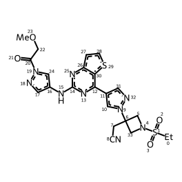 CCS(=O)(=O)N1CC(CC#N)(n2cc(-c3nc(Nc4cnn(C(=O)COC)c4)nc4ccsc34)cn2)C1